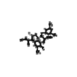 COC(=O)N(Cc1cc(C(F)(F)F)cc(C(F)(F)F)c1)[C@H]1C[C@@H](C)N(C(=O)OC(C)C)c2cc(C(F)(F)F)c(F)cc21